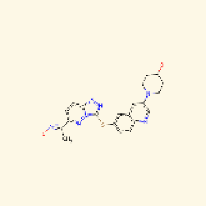 C/C(=N\O)c1ccc2nnc(Sc3ccc4ncc(N5CCC(O)CC5)cc4c3)n2n1